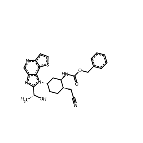 C[C@@H](O)c1nc2cnc3ccsc3c2n1[C@H]1CC[C@H](CC#N)[C@H](NC(=O)OCc2ccccc2)C1